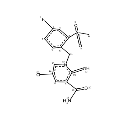 CS(=O)(=O)c1cc(F)ccc1Cn1cc(Cl)cc(C(N)=O)c1=N